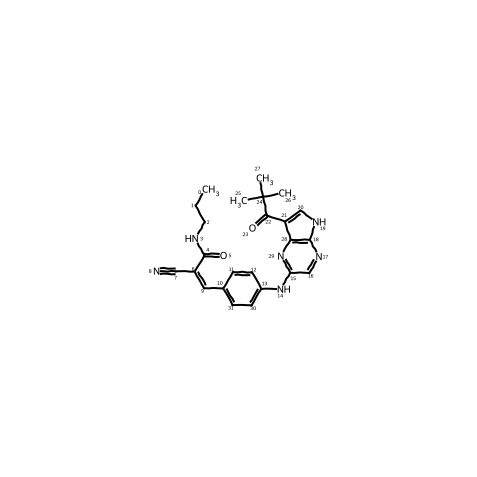 CCCNC(=O)C(C#N)=Cc1ccc(Nc2cnc3[nH]cc(C(=O)C(C)(C)C)c3n2)cc1